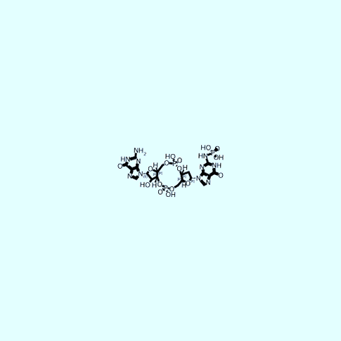 Nc1nc2c(ncn2[C@@H]2O[C@@H]3COP(=O)(O)O[C@@H]4C[C@H](n5cnc6c(=O)[nH]c(NP(=O)(O)O)nc65)O[C@@H]4COP(=O)(O)O[C@@H]3C2O)c(=O)[nH]1